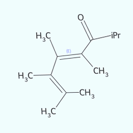 CC(C)=C(C)/C(C)=C(\C)C(=O)C(C)C